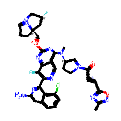 Cc1noc(/C=C/C(=O)N2CC[C@@H](N(C)c3nc(OC[C@@]45CCCN4C[C@H](F)C5)nc4c(F)c(-c5nc(N)cc6cccc(Cl)c56)ncc34)C2)n1